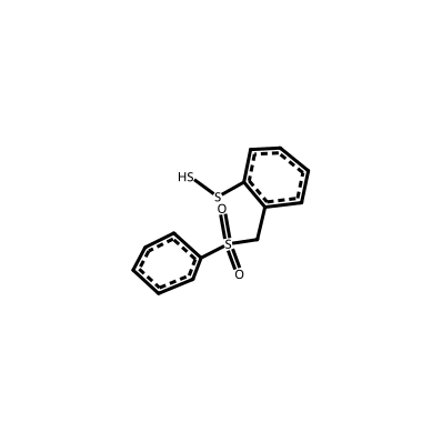 O=S(=O)(Cc1ccccc1SS)c1ccccc1